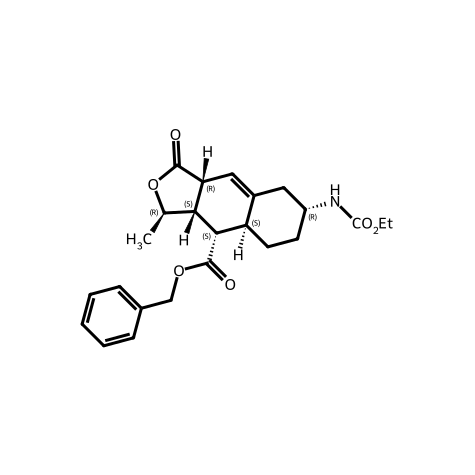 CCOC(=O)N[C@@H]1CC[C@@H]2C(=C[C@H]3C(=O)O[C@H](C)[C@H]3[C@H]2C(=O)OCc2ccccc2)C1